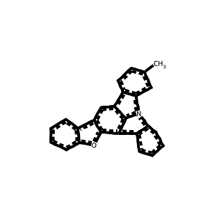 Cc1ccc2c3cc4c5ccccc5oc4c4c5ccccc5n(c2c1)c34